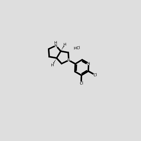 Cl.Clc1cc(N2C[C@H]3CCN[C@H]3C2)cnc1Cl